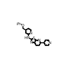 CC(C)OCc1ccnc(Nc2nc3ccc(-c4ccncc4)nc3s2)c1